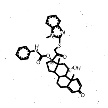 Cn1c(SCC(=O)[C@@]2(OC(=O)Nc3ccccc3)CCC3C4CCC5=CC(=O)C=CC5(C)C4[C@@H](O)CC32C)nc2ccccc21